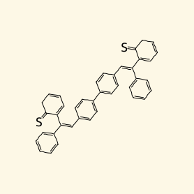 S=C1CC=CC=C1C(=Cc1ccc(-c2ccc(C=C(C3=CC=CCC3=S)c3ccccc3)cc2)cc1)c1ccccc1